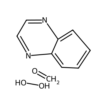 C=O.OO.c1ccc2nccnc2c1